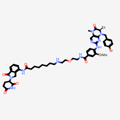 CC[C@@H]1C(=O)N(C)c2cnc(Nc3ccc(C(=O)NCCOCCNCCCCCCCC(=O)Nc4cccc5c4CN(C4CCC(=O)NC4=O)C5=O)cc3OC)nc2N1Cc1ccc(Br)cc1